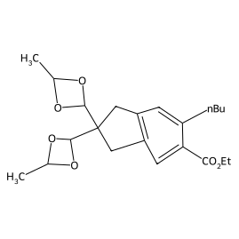 CCCCc1cc2c(cc1C(=O)OCC)CC(C1OC(C)O1)(C1OC(C)O1)C2